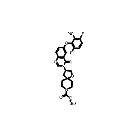 CC(C)(C)OC(=O)N1CCC2(CC1)CC(n1cnc3ccc(Oc4c(F)ccc(F)c4C#N)cc3c1=O)CO2